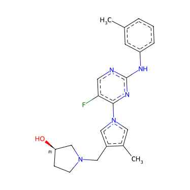 Cc1cccc(Nc2ncc(F)c(-n3cc(C)c(CN4CC[C@@H](O)C4)c3)n2)c1